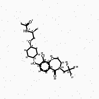 CC(=O)N[C@@H](C)CO[C@H]1CC[C@H](Oc2ccc3c(c2Cl)OCCN(CC(F)(F)F)C3=O)CC1